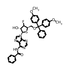 COc1ccc(C(OC[C@H]2S[C@@H](n3cnc4c(NC(=O)c5ccccc5)ncnc43)[C@H](O)C2F)(c2ccccc2)c2ccc(OC)cc2)cc1